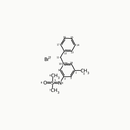 Cc1cc(N=S(C)(C)=O)c[n+](Cc2ccccc2)c1.[Br-]